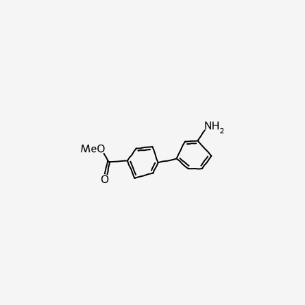 COC(=O)c1ccc(-c2cccc(N)c2)cc1